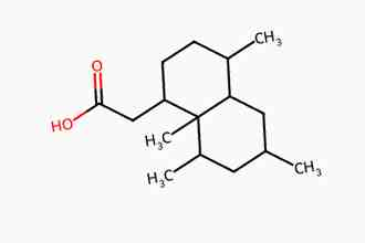 CC1CC(C)C2(C)C(CC(=O)O)CCC(C)C2C1